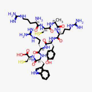 C[C@@H](NC(=O)[C@H](CS)NC(=O)[C@@H](N)CCCNC(=N)N)C(=O)N[C@@H](CCCNC(=N)N)C(=O)N[C@H](Cc1ccc(O)cc1)C(=O)N[C@@H](CCCNC(=N)N)C(=O)N[C@H](Cc1c[nH]c2ccccc12)C(=O)N[C@@H](CS)C(=O)O